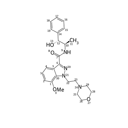 COc1cccc2c(C(=O)N[C@H](C)[C@H](O)c3ccccc3)nn(CCN3CCOCC3)c12